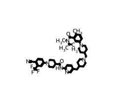 Cc1ccc(N2CCC(CN3CCC(Cc4ccc(NC(=O)C5CCN(c6ccc(C#N)c(C(F)(F)F)c6)CC5)nc4)CC3)CC2)cc1C(=O)N(C)C(C)C